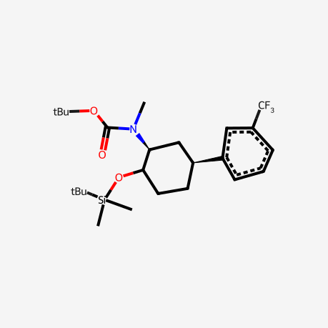 CN(C(=O)OC(C)(C)C)[C@H]1C[C@@H](c2cccc(C(F)(F)F)c2)CCC1O[Si](C)(C)C(C)(C)C